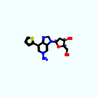 NN1C=C(c2cccs2)C2=NCN([C@H]3C[C@H](O)[C@@H](CO)O3)C2=C1